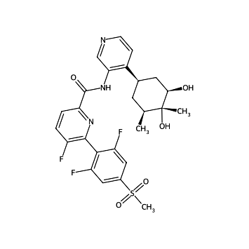 C[C@H]1C[C@@H](c2ccncc2NC(=O)c2ccc(F)c(-c3c(F)cc(S(C)(=O)=O)cc3F)n2)C[C@@H](O)[C@]1(C)O